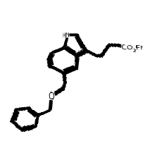 CCOC(=O)CCc1c[nH]c2ccc(COCc3ccccc3)cc12